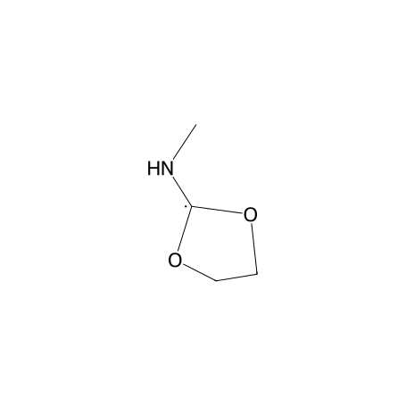 CN[C]1OCCO1